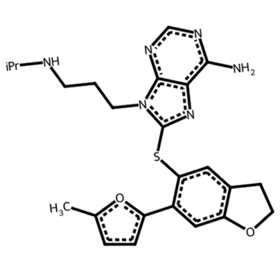 Cc1ccc(-c2cc3c(cc2Sc2nc4c(N)ncnc4n2CCCNC(C)C)CCO3)o1